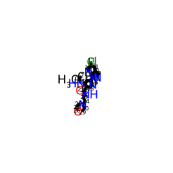 CC(C)Nc1cc(-n2ncc3cc(Cl)cnc32)ncc1C(=O)NCCN1CCOCC1